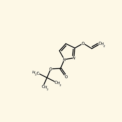 C=COc1ccn(C(=O)OC(C)(C)C)n1